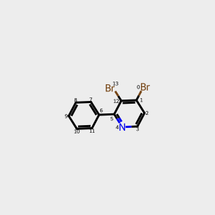 Brc1ccnc(-c2ccccc2)c1Br